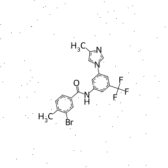 Cc1cn(-c2cc(NC(=O)c3ccc(C)c(Br)c3)cc(C(F)(F)F)c2)cn1